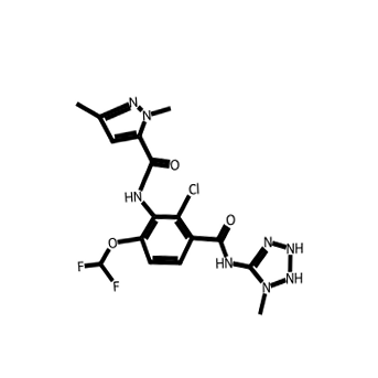 Cc1cc(C(=O)Nc2c(OC(F)F)ccc(C(=O)NC3=NNNN3C)c2Cl)n(C)n1